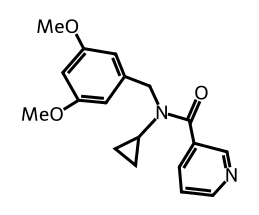 COc1cc(CN(C(=O)c2cccnc2)C2CC2)cc(OC)c1